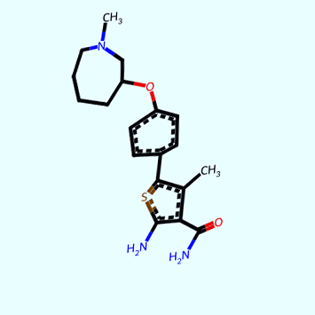 Cc1c(-c2ccc(OC3CCCCN(C)C3)cc2)sc(N)c1C(N)=O